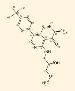 COCC(O)CNc1ncc(-c2ccc(C(F)(F)F)cc2)c2c1C(=O)[C@H](C)N=C2